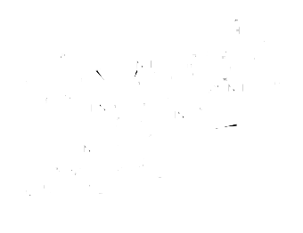 CC[C@H](C)[C@H](NC(=O)C[C@H](N)[C@H](Cc1ccccc1)NC(=O)[C@H](CC(C)C)NC(=O)CC(C)C)C(=O)N[C@H](C(=O)O)C(C)C